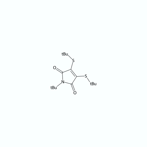 CC(C)(C)SC1=C(SC(C)(C)C)C(=O)N(C(C)(C)C)C1=O